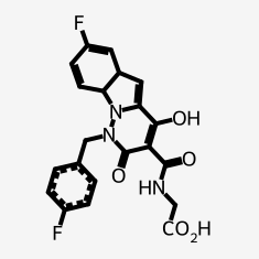 O=C(O)CNC(=O)C1=C(O)C2=CC3C=C(F)C=CC3N2N(Cc2ccc(F)cc2)C1=O